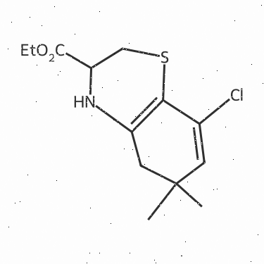 CCOC(=O)C1CSC2=C(CC(C)(C)C=C2Cl)N1